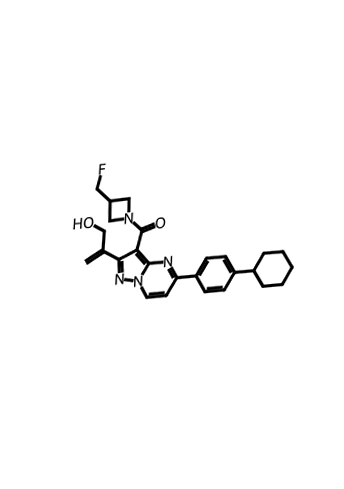 C=C(CO)c1nn2ccc(-c3ccc(C4CCCCC4)cc3)nc2c1C(=O)N1CC(CF)C1